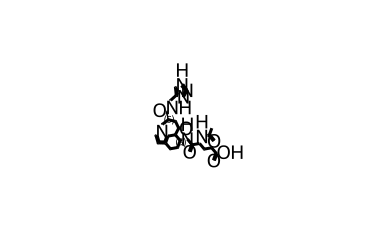 CC(=O)NC(CCC(=O)O)C(=O)N[C@H]1CCc2ccn3c2C1C(=O)C[C@H](C(=O)NCc1c[nH]nn1)C3